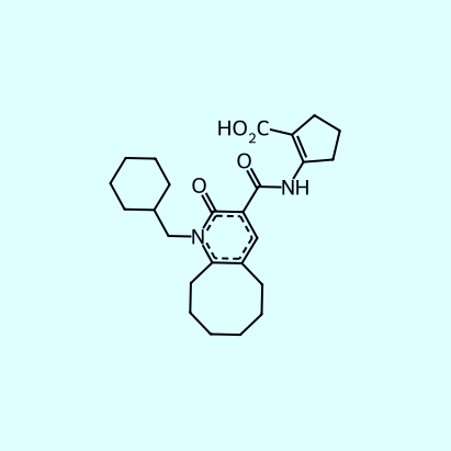 O=C(O)C1=C(NC(=O)c2cc3c(n(CC4CCCCC4)c2=O)CCCCCC3)CCC1